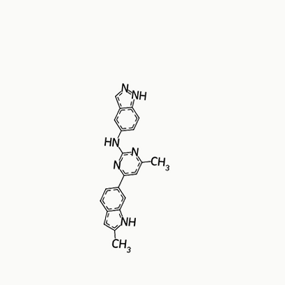 Cc1cc(-c2ccc3cc(C)[nH]c3c2)nc(Nc2ccc3[nH]ncc3c2)n1